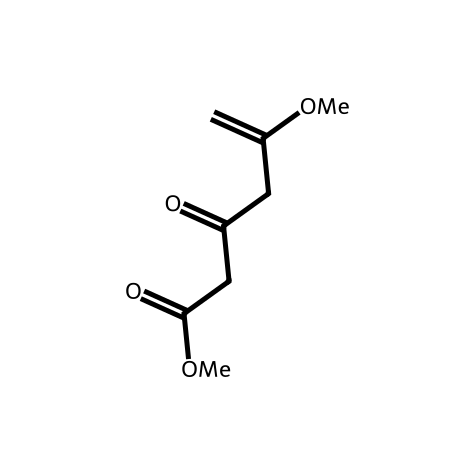 C=C(CC(=O)CC(=O)OC)OC